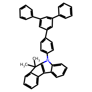 CC1(C)c2ccccc2-c2c1n(-c1ccc(-c3cc(-c4ccccc4)cc(-c4ccccc4)c3)cc1)c1ccccc21